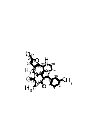 Cc1cccc(-c2c3c(=O)n(C)c(=O)n(C)c3c3n2CCNC3c2ccc(Cl)o2)c1